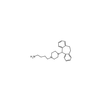 NCCCCN1CCN(C2c3ccccc3CCc3ccccc32)CC1